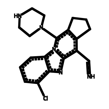 N=Cc1c2c(c(N3CCNCC3)n3c1nc1c(Cl)cccc13)CCC2